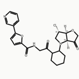 O=C(NCC(=O)C1CCCCC1N1C[C@H](Cl)[C@H]2OCC(=O)[C@H]21)c1ccc(-c2cccnc2)o1